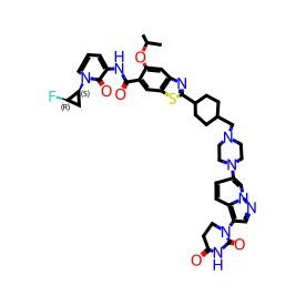 CC(C)Oc1cc2nc(C3CCC(CN4CCN(c5ccc6c(N7CCC(=O)NC7=O)cnn6c5)CC4)CC3)sc2cc1C(=O)Nc1cccn([C@H]2C[C@H]2F)c1=O